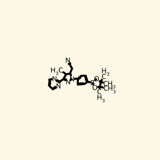 CC1C(c2ncccn2)=NN(c2ccc(B3OC(C)(C)C(C)(C)O3)cc2)C1CC#N